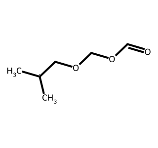 C[C](C)COCOC=O